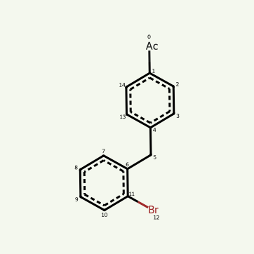 CC(=O)c1ccc(Cc2ccccc2Br)cc1